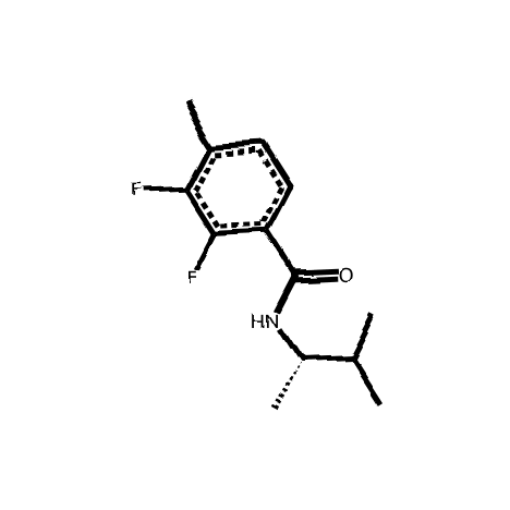 Cc1ccc(C(=O)N[C@@H](C)C(C)C)c(F)c1F